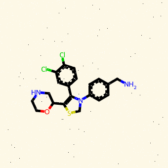 NCc1ccc(N2CSC(C3CNCCO3)=C2c2ccc(Cl)c(Cl)c2)cc1